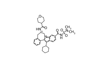 CN(C)S(=O)(=O)NC(=O)c1ccc2c(C3CCCCC3)c3n(c2c1)C[C@@H](NC(=O)C1CCOCC1)Cc1ccccc1-3